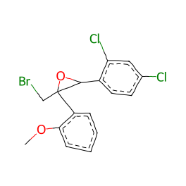 COc1ccccc1C1(CBr)OC1c1ccc(Cl)cc1Cl